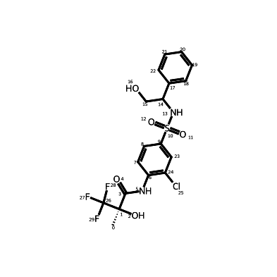 C[C@@](O)(C(=O)Nc1ccc(S(=O)(=O)NC(CO)c2ccccc2)cc1Cl)C(F)(F)F